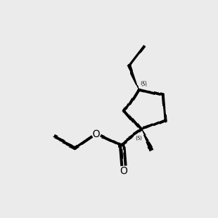 CCOC(=O)[C@@]1(C)CC[C@H](CC)C1